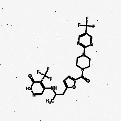 CC(Cc1ccc(C(=O)N2CCN(c3ncc(C(F)(F)F)cn3)CC2)o1)Nc1cn[nH]c(=O)c1C(F)(F)F